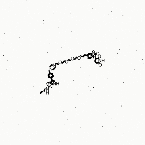 CCCCNc1ncc2c(-c3ccc(CN4CCN(CCOCCOCCOCCOCCCc5ccc6c(c5)n(C)c(=O)n6[C@H]5CCC(=O)NC5=O)CC4)cc3)c[nH]c2n1